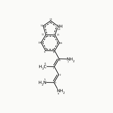 C/C(C=C(N)N)=C(/N)c1ccc2cc[nH]c2c1